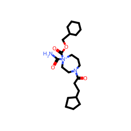 NC(=O)[N+]1(C(=O)OCC2CCCCC2)CCCN(C(=O)CCC2CCCC2)CC1